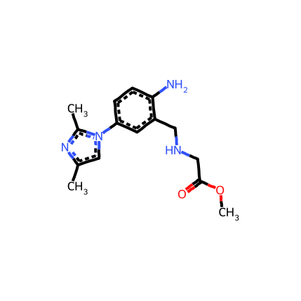 COC(=O)CNCc1cc(-n2cc(C)nc2C)ccc1N